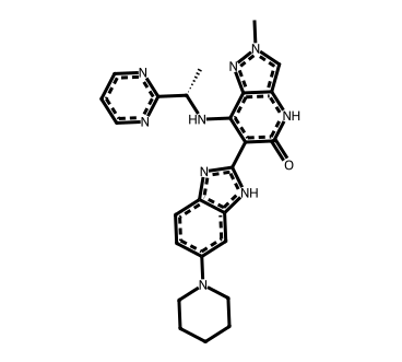 C[C@H](Nc1c(-c2nc3ccc(N4CCCCC4)cc3[nH]2)c(=O)[nH]c2cn(C)nc12)c1ncccn1